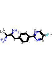 CC(N)C(N)Cc1ccc(-c2ncc(F)cn2)cc1